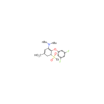 CCCCN(CCCC)C1=C(Oc2cc(F)cc(F)c2)C(S(=O)(=O)CC)CC(C(=O)O)=C1